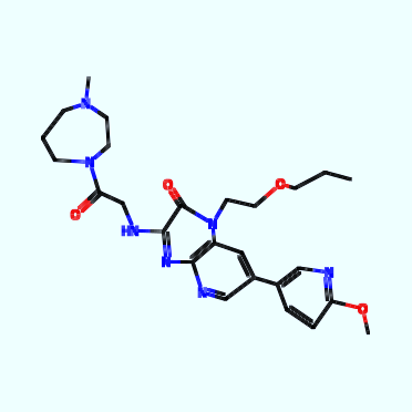 CCCOCCn1c(=O)c(NCC(=O)N2CCCN(C)CC2)nc2ncc(-c3ccc(OC)nc3)cc21